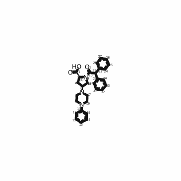 O=C(O)[C@@H]1C[C@H](N2CCN(c3ccccc3)CC2)CN1C(=O)C(c1ccccc1)c1ccccc1